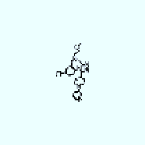 COCCN1Cc2cc(Cl)ccc2-n2c(nnc2C2CCN(c3cccnc3)CC2)C1